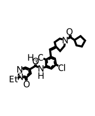 CCn1ncc(C(=O)Nc2cc(Cl)cc(C=C3CCN(C(=O)C4CCCC4)CC3)c2C)cc1=O